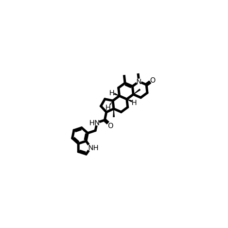 CC1=C2N(C)C(=O)CC[C@]2(C)[C@@H]2CC[C@]3(C)C(C(=O)NCc4cccc5cc[nH]c45)CC[C@H]3[C@@H]2C1